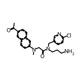 CC(=O)c1ccc2cc(N(C)CC(=O)N(CCCN)Cc3ccc(Cl)nc3)ccc2c1